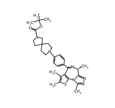 Cc1sc2c(c1C)C(c1ccc(N3CCC4(CCN(C(=O)OC(C)(C)C)C4)CC3)cc1)=N[C@@H](C)c1nnc(C)n1-2